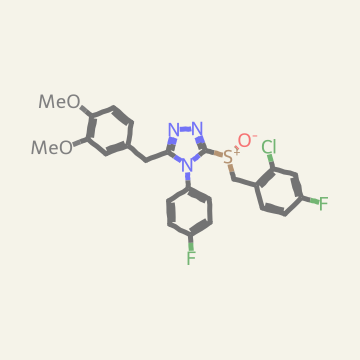 COc1ccc(Cc2nnc([S+]([O-])Cc3ccc(F)cc3Cl)n2-c2ccc(F)cc2)cc1OC